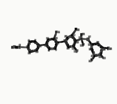 CCCCCc1ccc(-c2ccc(-c3cc(F)c(C(F)(F)Oc4cc(F)c(C)c(F)c4)c(F)c3)c(F)c2)cc1